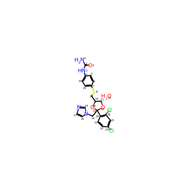 NC(=O)Nc1ccc(SCC2COC(Cn3ccnc3)(c3ccc(Cl)cc3Cl)O2)cc1.O